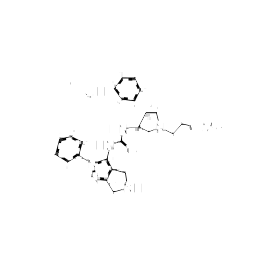 COCCN1C[C@@H](NC(=O)Nc2c3c(nn2-c2ccccc2)CNC3)[C@H](c2ccccc2)C1.Cl.Cl